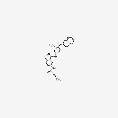 CC#CC(=O)Nc1ccc2ncnc(Nc3ccc(Oc4ccc5nccnc5c4)c(C)c3)c2c1